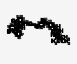 CC(C)(C)c1cc(NC(=O)Nc2ccc(-n3cnc4cc(OCCOCCNc5cccc6c5C(=O)N(C5CCC(=O)N(Cc7ccccc7)C5=O)C6=O)ccc43)cc2)[nH]n1